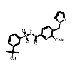 COc1nc(C(=O)NS(=O)(=O)c2cccc(C(C)(C)O)c2)ccc1Cn1cccn1